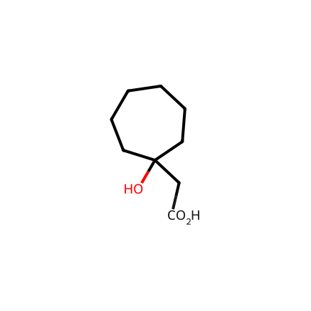 O=C(O)CC1(O)CCCCCC1